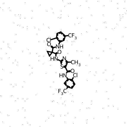 Cc1nc(NC(=O)C2(C(=O)Nc3cc(C(F)(F)F)ccc3Cl)CC2)sc1C(=O)Nc1cc(C(F)(F)F)ccc1Cl